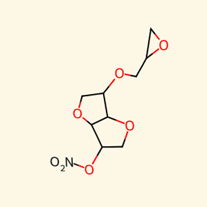 O=[N+]([O-])OC1COC2C(OCC3CO3)COC12